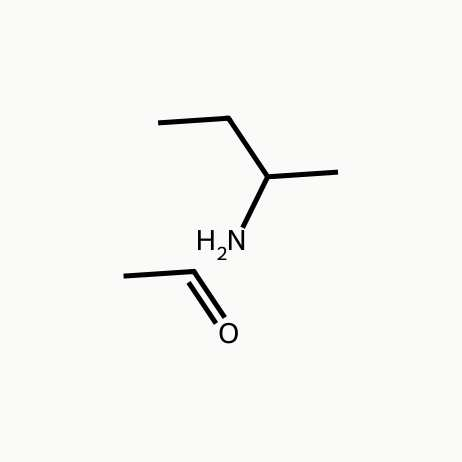 CC=O.CCC(C)N